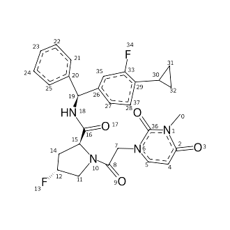 Cn1c(=O)ccn(CC(=O)N2C[C@H](F)C[C@H]2C(=O)N[C@@H](c2ccccc2)c2ccc(C3CC3)c(F)c2)c1=O